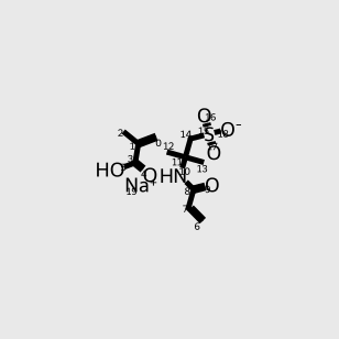 C=C(C)C(=O)O.C=CC(=O)NC(C)(C)CS(=O)(=O)[O-].[Na+]